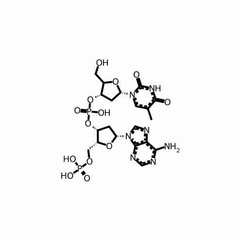 Cc1cn([C@@H]2C[C@H](OP(=O)(O)O[C@@H]3C[C@H](n4cnc5c(N)ncnc54)O[C@@H]3COP(=O)(O)O)C(CO)O2)c(=O)[nH]c1=O